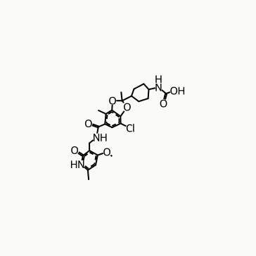 COc1cc(C)[nH]c(=O)c1CNC(=O)c1cc(Cl)c2c(c1C)OC(C)(C1CCC(NC(=O)O)CC1)O2